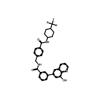 O=C(NCc1ccc(C(=O)NC2CCC(C(F)(F)F)CC2)cc1)c1cccc(-c2cc(O)c3ncccc3c2)c1